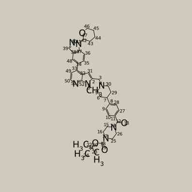 Cn1c(CN2CCC(c3ccc(C(=O)N4CCN(C(=O)OC(C)(C)C)CC4)cc3)CC2)cc2c(-c3ccc4c(cnn4C4CCCCO4)c3)ccnc21